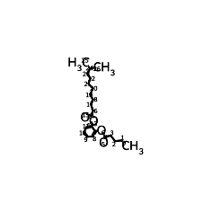 CCCCC(=O)Oc1ccccc1OC(=O)CCCCCCCCC(C)C